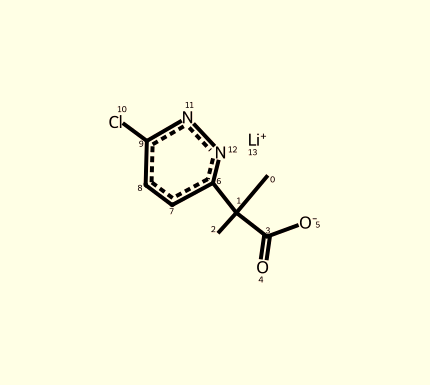 CC(C)(C(=O)[O-])c1ccc(Cl)nn1.[Li+]